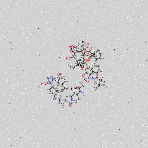 CC(=O)O[C@@]12CO[C@@H]1C[C@H](O)[C@@]1(C)C(=O)[C@H](O)C3=C(C)[C@@H](OC(=O)[C@H](OC(=O)CCC(=O)NC4CCN(C(=O)C5CCN(Cc6ccc(-n7c(O)nnc7-c7cc(C(C)C)ccc7O)cc6)CC5)CC4)[C@@H](NC(=O)OC(C)(C)C)c4ccccc4)C[C@@](O)([C@@H](OC(=O)c4ccccc4)[C@H]21)C3(C)C